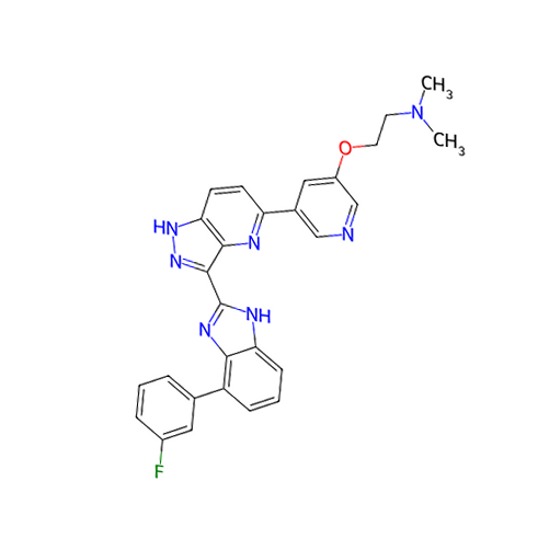 CN(C)CCOc1cncc(-c2ccc3[nH]nc(-c4nc5c(-c6cccc(F)c6)cccc5[nH]4)c3n2)c1